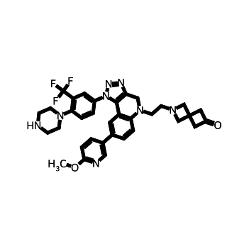 COc1ccc(-c2ccc3c(c2)-c2c(nnn2-c2ccc(N4CCNCC4)c(C(F)(F)F)c2)CN3CCN2CC3(CC(=O)C3)C2)cn1